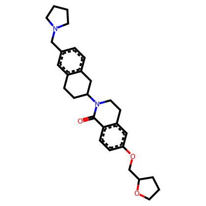 O=C1c2ccc(OCC3CCCO3)cc2CCN1C1CCc2cc(CN3CCCC3)ccc2C1